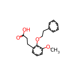 COc1cccc(CCC(=O)O)c1OCCc1ccccc1